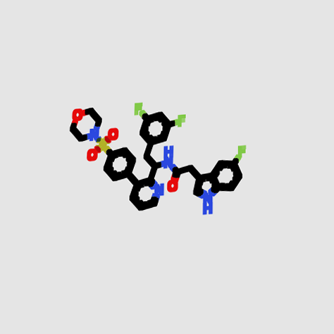 O=C(Cc1c[nH]c2ccc(F)cc12)NC(Cc1cc(F)cc(F)c1)c1ncccc1-c1ccc(S(=O)(=O)N2CCOCC2)cc1